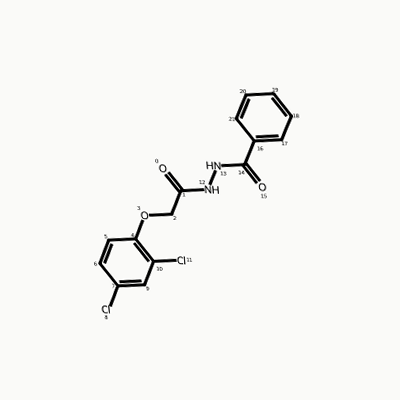 O=C(COc1ccc(Cl)cc1Cl)NNC(=O)c1ccccc1